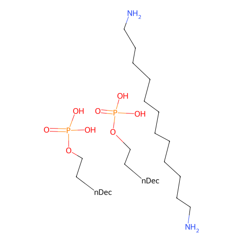 CCCCCCCCCCCCOP(=O)(O)O.CCCCCCCCCCCCOP(=O)(O)O.NCCCCCCCCCCCCN